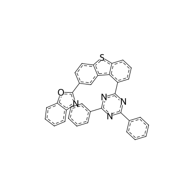 c1ccc(-c2nc(-c3ccccc3)nc(-c3cccc4sc5ccc(-c6nc7ccccc7o6)cc5c34)n2)cc1